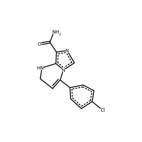 NC(=O)c1ncn2c1NCC=C2c1ccc(Cl)cc1